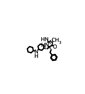 CN1C(=N)N[C@](CCc2ccccc2)(C[C@H]2CCCC(NC3CCCCC3)C2)C1=O